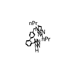 CCCc1nc2cc(CCC)n(Cc3ccc(-c4ccccc4-c4nnn[nH]4)cc3)n2n1